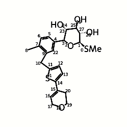 CS[C@H]1OC(c2ccc(C)c(Cc3ccc(C4=CCOCC4)s3)c2)[C@H](O)[C@@H](O)[C@@H]1O